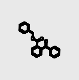 O=C(OCc1ccccc1)c1ccccc1C(=O)c1ccccc1